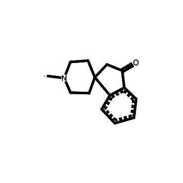 [CH2]N1CCC2(CC1)CC(=O)c1ccccc12